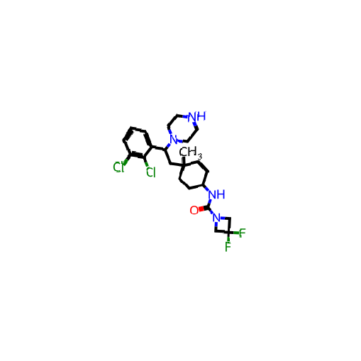 CC1(CC(c2cccc(Cl)c2Cl)N2CCNCC2)CCC(NC(=O)N2CC(F)(F)C2)CC1